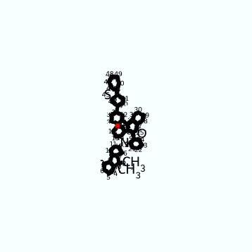 CC1(C)c2ccccc2-c2ccc(N(c3ccccc3)c3cccc4oc5c6ccccc6c(-c6cccc(-c7ccc8c(c7)sc7ccccc78)c6)cc5c34)cc21